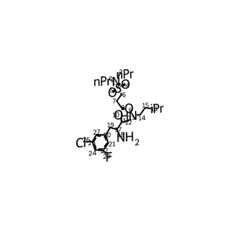 CCCN(CCC)S(=O)(=O)CCC(=O)OC(CNCCC(C)C)C(N)Cc1cc(F)cc(Cl)c1